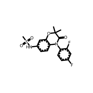 CC1(C)Oc2cc(NS(C)(=O)=O)ccc2N(c2ccc(F)cc2F)C1=O